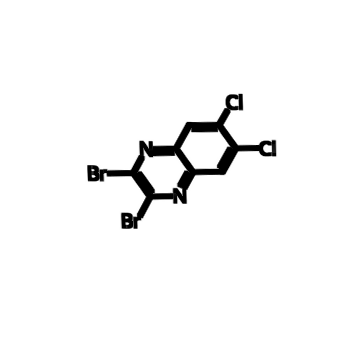 Clc1cc2nc(Br)c(Br)nc2cc1Cl